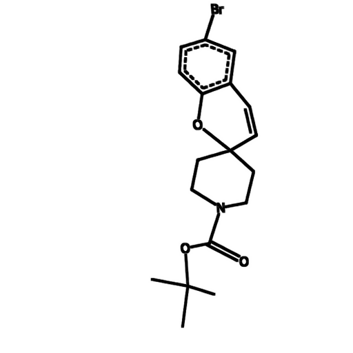 CC(C)(C)OC(=O)N1CCC2(C=Cc3cc(Br)ccc3O2)CC1